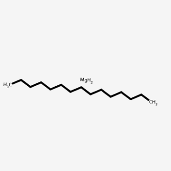 CCCCCCCCCCCCCCC.[MgH2]